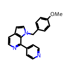 COc1ccc(Cn2ccc3ccnc(-c4ccncc4)c32)cc1